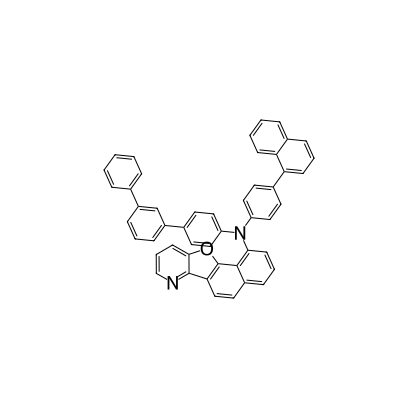 c1ccc(-c2cccc(-c3ccc(N(c4ccc(-c5cccc6ccccc56)cc4)c4cccc5ccc6c7ncccc7oc6c45)cc3)c2)cc1